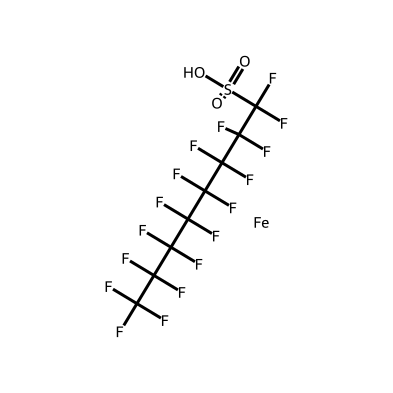 O=S(=O)(O)C(F)(F)C(F)(F)C(F)(F)C(F)(F)C(F)(F)C(F)(F)C(F)(F)C(F)(F)F.[Fe]